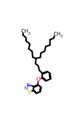 CCCCCCCCC(CCCCCCCC)CCCc1ccccc1Oc1cccc2snnc12